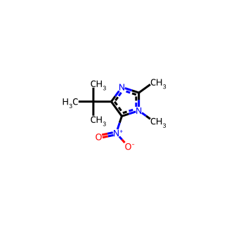 Cc1nc(C(C)(C)C)c([N+](=O)[O-])n1C